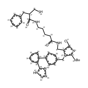 CCCCc1nc(Cl)c(CNC(=O)CCCCNC(=O)C(CS)Cc2ccccc2)n1Cc1ccc(-c2ccccc2-c2nnn[nH]2)cc1